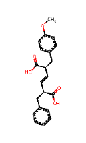 COc1ccc(C[C@@H](C=C[C@H](Cc2ccccc2)C(=O)O)C(=O)O)cc1